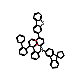 c1ccc(-c2ccccc2-c2ccccc2-c2ccccc2N(c2ccc(-c3ccc4c(c3)sc3ccccc34)cc2)c2ccc3c(c2)-c2ccccc2C32CCCC2)cc1